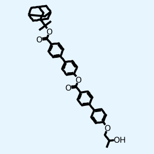 CC(O)COc1ccc(-c2ccc(C(=O)Oc3ccc(-c4ccc(C(=O)OC(C)(C)C56CC7CC(CC(C7)C5)C6)cc4)cc3)cc2)cc1